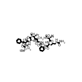 C/C(=C\[C@H](C(C)C)N(C)C(=O)[C@@H](NC(=O)[C@@H](N(C)C(=O)OC(C)(C)C)C(C)(C)c1ccccc1)C(C)(C)C)C(=O)NS(=O)(=O)c1ccccc1NC(=O)[C@H](CCCNC(N)=O)NC(=O)[C@@H](NC(=O)O)C(C)C